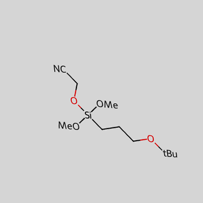 CO[Si](CCCOC(C)(C)C)(OC)OCC#N